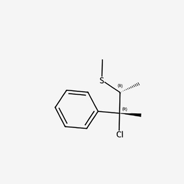 CS[C@H](C)[C@](C)(Cl)c1ccccc1